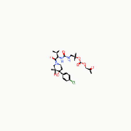 CC(=O)COC(=O)OC(C)(C)CNC(=O)N[C@@H](C(=O)N1CC[C@](O)(c2ccc(Cl)cc2)C(C)(C)C1)C(C)C